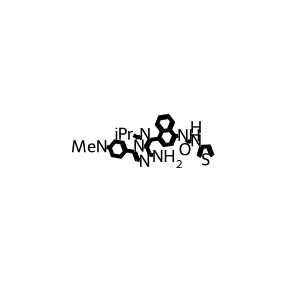 CNC1CC=C(c2cnc(N)c3c(-c4ccc(NC(=O)Nc5ccsc5)c5ccccc45)nc(C(C)C)n23)CC1